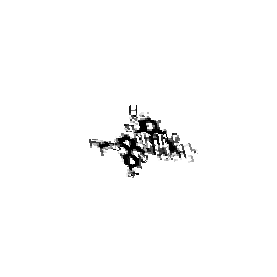 Cc1ccc(CNC(=O)C(C)(C)C)c(Cl)c1C(=O)Nc1ccc(OCC(F)F)c(-c2ccc(Br)cc2)c1C(N)=O